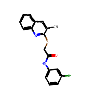 N#Cc1cc2ccccc2nc1SCC(=O)Nc1cccc(Br)c1